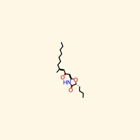 CCCCCCC/C(C)=C/C(=O)/C=C1\NC(=O)[C@@H](CCCC)O1